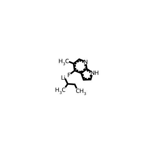 Cc1cnc2[nH]ccc2c1F.[Li][CH](C)CC